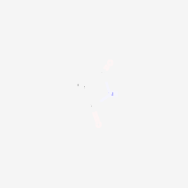 O=C1CCC(=O)N1.[CaH2]